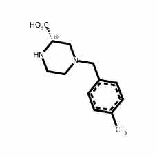 O=C(O)[C@@H]1CN(Cc2ccc(C(F)(F)F)cc2)CCN1